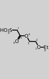 CCOCCOC(=O)CS(=O)(=O)O